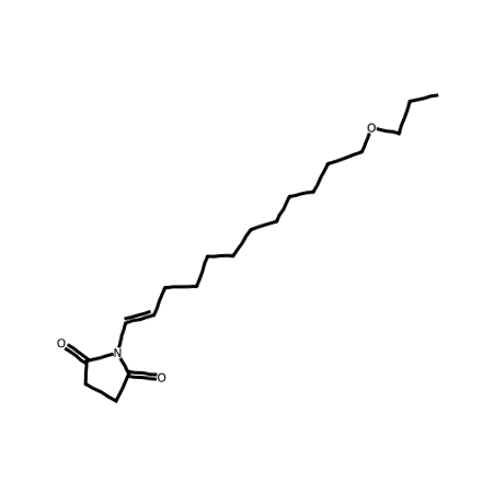 CCCOCCCCCCCCCCC=CN1C(=O)CCC1=O